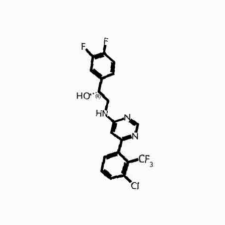 O[C@@H](CNc1cc(-c2cccc(Cl)c2C(F)(F)F)ncn1)c1ccc(F)c(F)c1